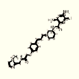 Cn1ccnc1CNC(=O)COc1ccc(CCCN2CCC[C@H](NC(=O)c3nc(Cl)c(N)nc3N)C2)cc1